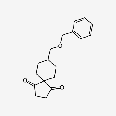 O=C1CCC(=O)C12CCC(COCc1ccccc1)CC2